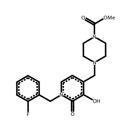 COC(=O)N1CCN(Cc2ccn(Cc3ccccc3F)c(=O)c2O)CC1